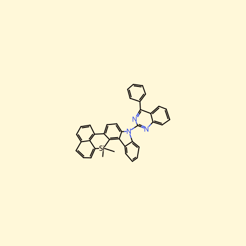 C[Si]1(C)c2cccc3cccc(c23)-c2ccc3c(c21)c1ccccc1n3-c1nc(-c2ccccc2)c2ccccc2n1